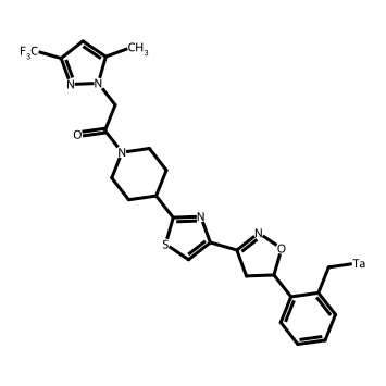 Cc1cc(C(F)(F)F)nn1CC(=O)N1CCC(c2nc(C3=NOC(c4ccccc4[CH2][Ta])C3)cs2)CC1